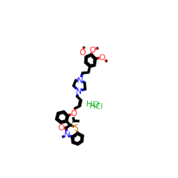 COc1cc(CCN2CCN(C/C=C\COc3ccccc3[C@@]3(C(C)C)Sc4ccccc4N(C)C3=O)CC2)cc(OC)c1OC.Cl.Cl